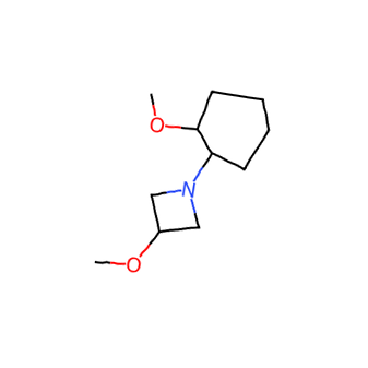 COC1CN(C2CCCCC2OC)C1